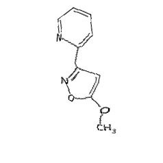 COc1cc(-c2ccccn2)no1